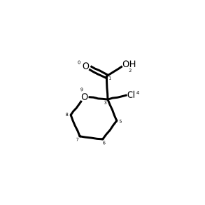 O=C(O)C1(Cl)CCCCO1